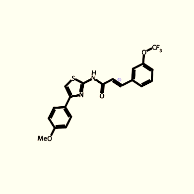 COc1ccc(-c2csc(NC(=O)/C=C/c3cccc(OC(F)(F)F)c3)n2)cc1